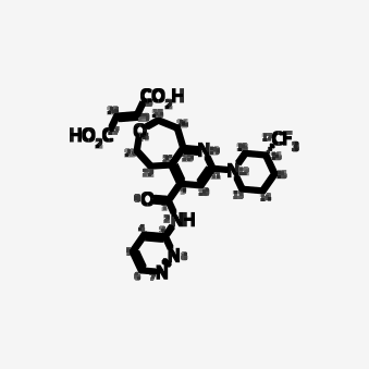 O=C(Nc1cccnn1)c1cc(N2CCC[C@@H](C(F)(F)F)C2)nc2c1CCOCC2.O=C(O)/C=C/C(=O)O